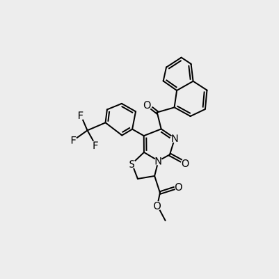 COC(=O)C1CSc2c(-c3cccc(C(F)(F)F)c3)c(C(=O)c3cccc4ccccc34)nc(=O)n21